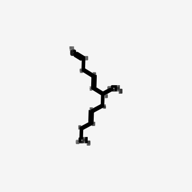 CCC=CCC(C)C=CCC=O